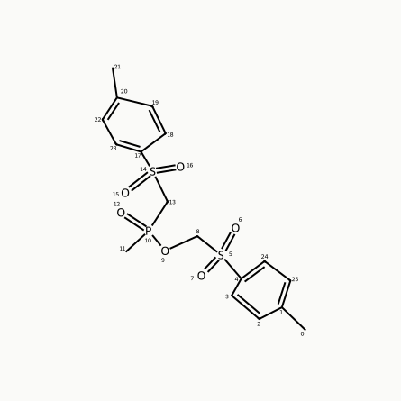 Cc1ccc(S(=O)(=O)COP(C)(=O)CS(=O)(=O)c2ccc(C)cc2)cc1